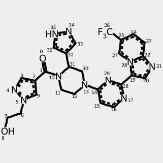 O=C(c1cnn(CCO)c1)N1CCN(c2ccnc(-c3cnc4ccc(C(F)(F)F)cn34)n2)CC1c1cn[nH]c1